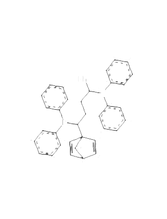 [Rh][CH](CCC(P(c1ccccc1)c1ccccc1)C12C=CC(C=C1)C2)P(c1ccccc1)c1ccccc1